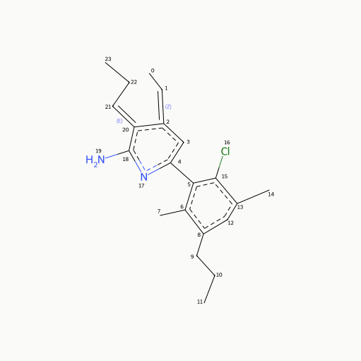 C/C=c1/cc(-c2c(C)c(CCC)cc(C)c2Cl)nc(N)/c1=C/CC